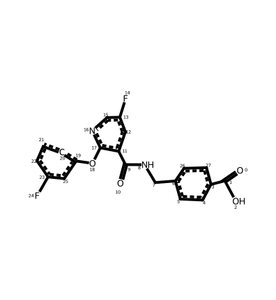 O=C(O)c1ccc(CNC(=O)c2cc(F)cnc2Oc2cccc(F)c2)cc1